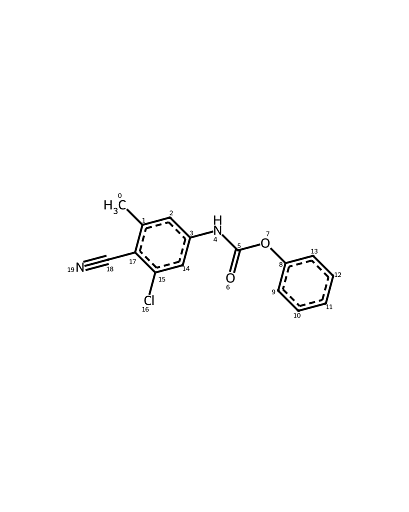 Cc1cc(NC(=O)Oc2ccccc2)cc(Cl)c1C#N